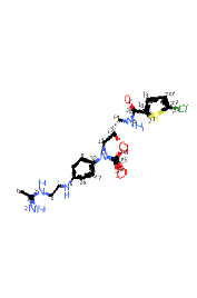 CC(=N)NCCNc1ccc(N2C[C@H](CNC(=O)c3ccc(Cl)s3)OC2=O)cc1